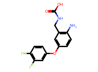 Nc1ccc(Oc2ccc(F)c(F)c2)cc1CNC(=O)O